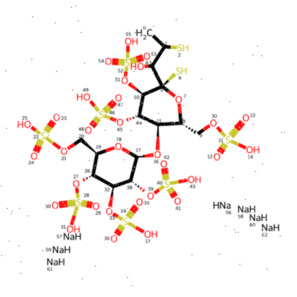 [CH2]C(S)C(O)[C@]1(S)O[C@H](COS(=O)(=O)O)[C@@H](O[C@@H]2O[C@H](COS(=O)(=O)O)[C@@H](OS(=O)(=O)O)[C@H](OS(=O)(=O)O)[C@H]2OS(=O)(=O)O)[C@H](OS(=O)(=O)O)[C@H]1OS(=O)(=O)O.[NaH].[NaH].[NaH].[NaH].[NaH].[NaH].[NaH]